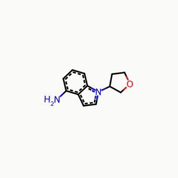 Nc1cccc2c1ccn2C1CCOC1